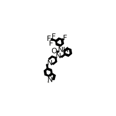 Cn1ccc2cc(CN3CCC(N(Cc4ccccc4)C(=O)Nc4cc(F)cc(C(F)(F)F)c4)CC3)ccc21